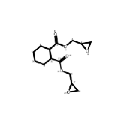 O=C(OCC1CO1)C1CCCCC1C(=O)OCC1CO1